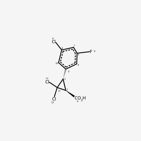 O=C(O)[C@@H]1[C@@H](c2cc(F)cc(Cl)c2)C1(Cl)Cl